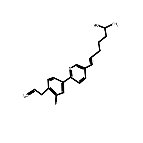 C=CCc1ccc(-c2ccc(/C=C/CCCC(C)O)cn2)cc1F